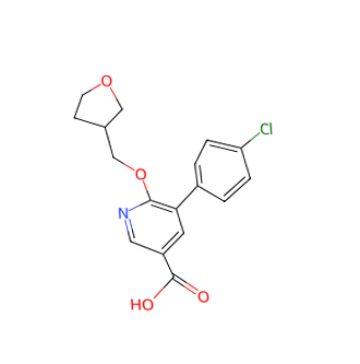 O=C(O)c1cnc(OCC2CCOC2)c(-c2ccc(Cl)cc2)c1